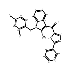 Cc1c(C(=O)c2nnc(-c3cccnn3)o2)c2ccccc2n1Cc1ccc(Cl)cc1Cl